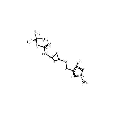 Cn1cc(Br)c(COC2CC(NC(=O)OC(C)(C)C)C2)n1